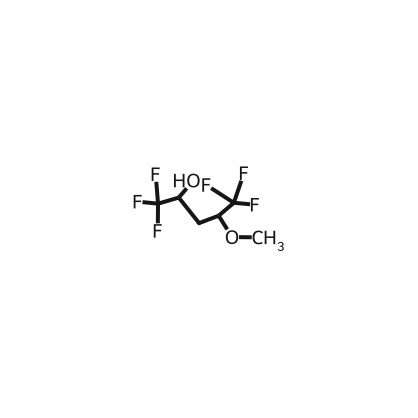 COC(CC(O)C(F)(F)F)C(F)(F)F